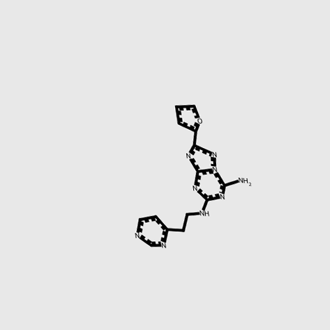 Nc1nc(NCCc2ccncn2)nc2nc(-c3ccco3)nn12